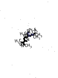 CCC/C=C(C)/C(=C\C=C(/C)C(C)(C)OF)c1ncc(-c2c(C)noc2C)cc1CCCC